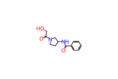 O=C(NC1CCN(C(=O)CO)C1)c1ccccc1